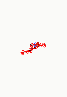 C=CC(=O)OCCCCCCOc1ccc(OC(=O)C2CCC(COc3ccc(OCC4CCC(C(=O)OCCCCOC(=O)C=C)CC4)c(/C=N/N(CCCCOC(=O)C(=C)C)c4nc5cc(C)cc(C)c5s4)c3)CC2)cc1